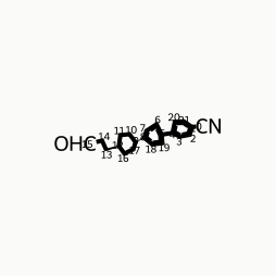 N#Cc1ccc(-c2ccc([C@H]3CC[C@H](CCC=O)CC3)cc2)cc1